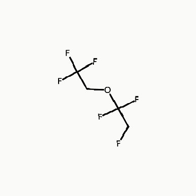 FCC(F)(F)OCC(F)(F)F